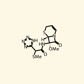 CO[C@@]1(NC(=O)C(SC)c2nnn[nH]2)C(=O)N2C=CCS[C@H]21